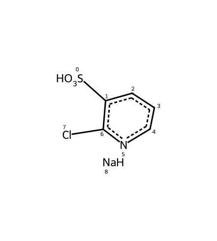 O=S(=O)(O)c1cccnc1Cl.[NaH]